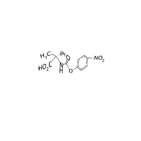 CC(C)[C@](C)(NC(=O)Oc1ccc([N+](=O)[O-])cc1)C(=O)O